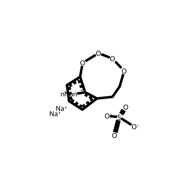 CCCCCCCCCc1c2cccc1OOOOCC2.O=S(=O)([O-])[O-].[Na+].[Na+]